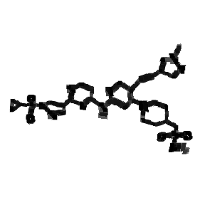 Cn1cc(C#Cc2cnc(Nc3ccnc(-c4cnn(S(=O)(=O)C5CC5)c4)n3)cc2N2CCC(CS(N)(=O)=O)CC2)cn1